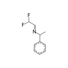 CC(/N=C/C(F)F)c1ccccc1